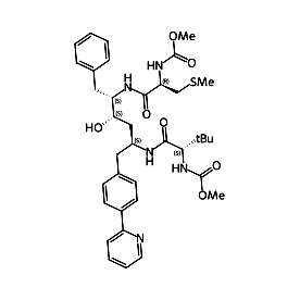 COC(=O)N[C@@H](CSC)C(=O)N[C@@H](Cc1ccccc1)[C@@H](O)C[C@H](Cc1ccc(-c2ccccn2)cc1)NC(=O)[C@@H](NC(=O)OC)C(C)(C)C